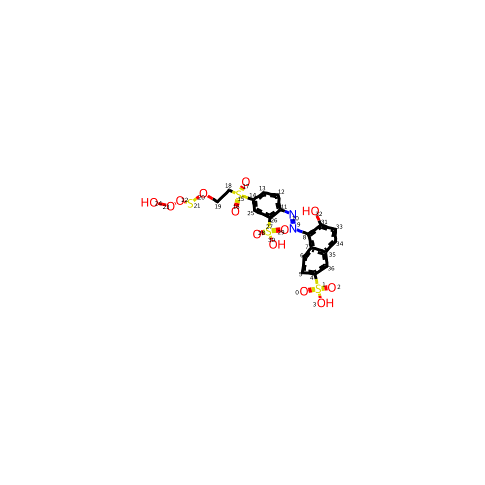 O=S(=O)(O)c1ccc2c(/N=N/c3ccc(S(=O)(=O)CCOSOOO)cc3S(=O)(=O)O)c(O)ccc2c1